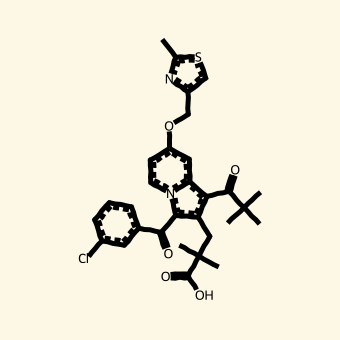 Cc1nc(COc2ccn3c(C(=O)c4cccc(Cl)c4)c(CC(C)(C)C(=O)O)c(C(=O)C(C)(C)C)c3c2)cs1